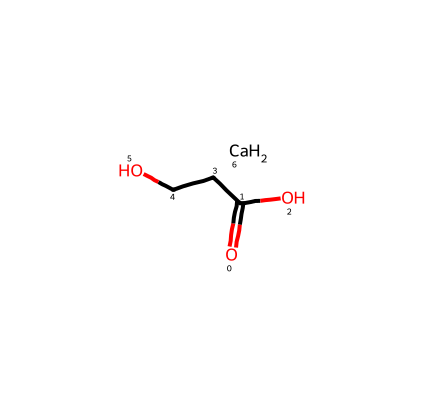 O=C(O)CCO.[CaH2]